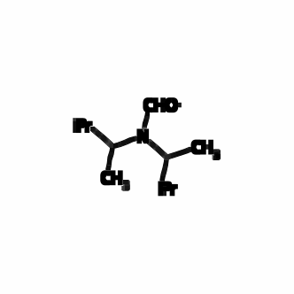 CC(C)C(C)N([C]=O)C(C)C(C)C